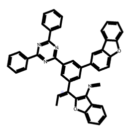 C=Nc1c(/C(=C\C)c2cc(-c3ccc4oc5ccccc5c4c3)cc(-c3nc(-c4ccccc4)nc(-c4ccccc4)n3)c2)oc2ccccc12